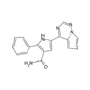 NC(=O)c1cc(-c2ncnn3cccc23)[nH]c1-c1ccccc1